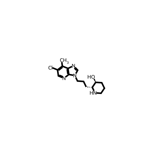 Cc1c(Cl)cnc2c1ncn2CCC[C@H]1NCCC[C@@H]1O